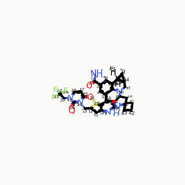 NC(=O)c1cc(-c2ccnc3cc(Cn4c(=O)ccn(CC(F)(F)F)c4=O)sc23)c2c(c1)[C@@H]1C[C@@H]1CN2[C@@H]1CNC2(CCC2)C1